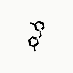 Cc1ccc[n+](C[n+]2cccc(C)c2)c1